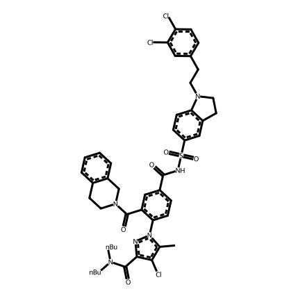 CCCCN(CCCC)C(=O)c1nn(-c2ccc(C(=O)NS(=O)(=O)c3ccc4c(c3)CCN4CCc3ccc(Cl)c(Cl)c3)cc2C(=O)N2CCc3ccccc3C2)c(C)c1Cl